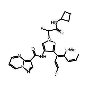 C\C=C/C(OC)=C(\C=C\Cl)c1nn(C(F)C(=O)NC2CCC2)cc1NC(=O)c1cnn2cccnc12